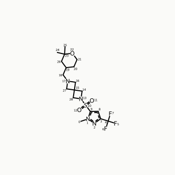 Cn1nc(C(F)(F)F)cc1S(=O)(=O)N1CC2(CN(CC3CCOC(C)(C)C3)C2)C1